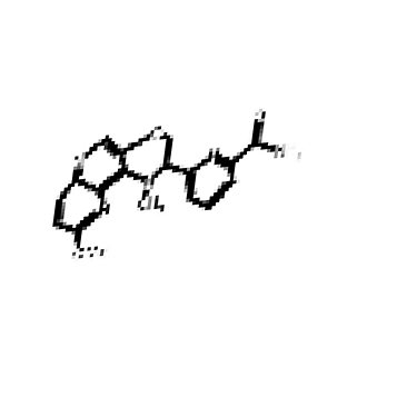 COc1ccc2ncc3c(c2n1)N(C)C(c1cc[c]c(C(N)=O)n1)CO3